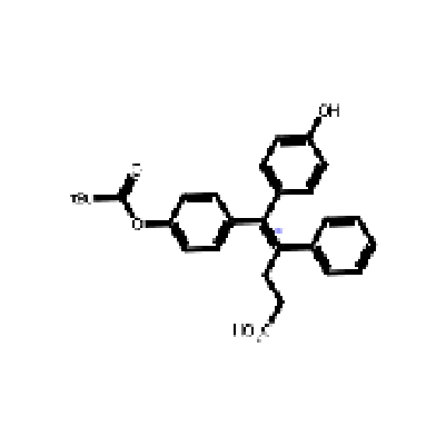 CC(C)(C)C(=O)Oc1ccc(/C(=C(\CCC(=O)O)c2ccccc2)c2ccc(O)cc2)cc1